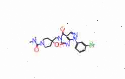 CN(C)C(=O)N1CCC(O)(Cn2cnc3c(cnn3-c3cccc(Br)c3)c2=O)CC1